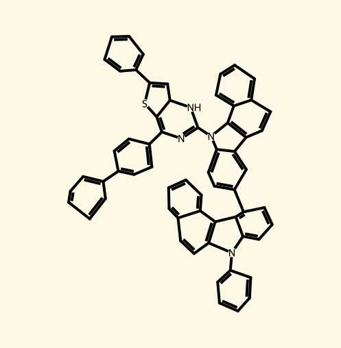 C1=C(c2ccccc2)SC2=C(c3ccc(-c4ccccc4)cc3)N=C(n3c4ccc(-c5cccc6c5c5c7ccccc7ccc5n6-c5ccccc5)cc4c4ccc5ccccc5c43)NC12